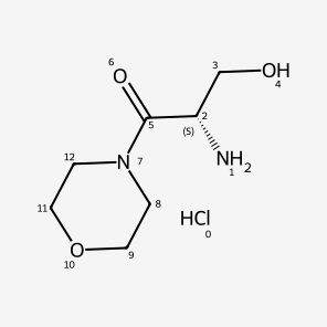 Cl.N[C@@H](CO)C(=O)N1CCOCC1